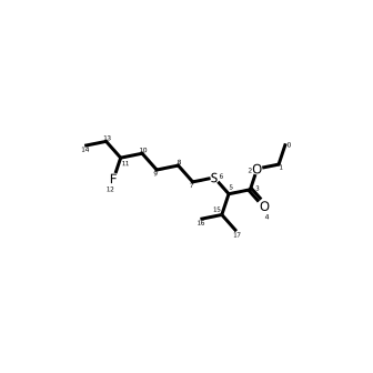 CCOC(=O)C(SCCCCC(F)CC)C(C)C